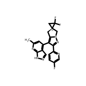 Cc1cc(-c2c(-c3ccc(F)cn3)nn3c2C[C@@]2(C3)CC2(F)F)c2cn[nH]c2n1